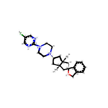 Fc1cnc(N2CCN([C@@H]3C[C@@H]4C[C@@]5(C[C@@H]4C3)OCc3ccccc35)CC2)nc1